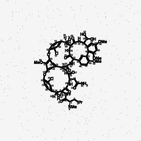 CN[C@@H](CC(C)C)C(=O)N[C@H]1C(=O)NC(CC(N)=O)C(=O)N[C@H]2C(=O)N[C@H]3C(=O)N[C@H](C(=O)NC(B(O)O)c4cc(OC)cc(OC)c4-c4cc3ccc4OC)[C@H](O)c3ccc(c(Cl)c3)Oc3cc2cc(c3OC)Oc2ccc(cc2Cl)[C@H]1O